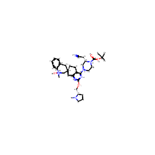 CN1CCC[C@H]1COc1nc2c(c(N3CCN(C(=O)OC(C)(C)C)[C@@H](CC#N)C3)n1)CC[C@@]1(Cc3ccccc3[N+](C)([O-])C1)C2